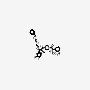 Cn1c(C(=O)N2CCN(C(=O)C(NC(=O)O)C3CCCCC3)CC2)c(OCCOCCOCc2ccccc2)c2cc(F)c(F)cc21